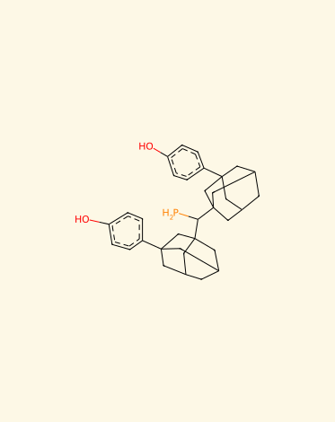 Oc1ccc(C23CC4CC(C2)CC(C(P)C25CC6CC(CC(c7ccc(O)cc7)(C6)C2)C5)(C4)C3)cc1